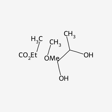 CC(O)CO.CCOC(C)=O.COC